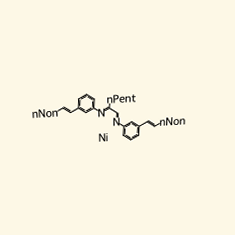 CCCCCCCCCC=Cc1cccc(N=CC(CCCCC)=Nc2cccc(C=CCCCCCCCCC)c2)c1.[Ni]